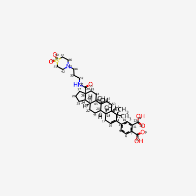 CC1(C)C(c2ccc(C(=O)O)c(C(=O)O)c2)=CC[C@]2(C)[C@H]3CC[C@@H]4[C@H]5CCC[C@]5(C(=O)NCCCN5CCS(=O)(=O)CC5)CC[C@@]4(C)[C@]3(C)CC[C@@H]12